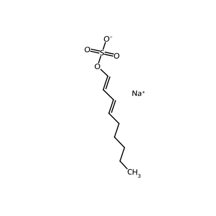 CCCCCC=CC=COS(=O)(=O)[O-].[Na+]